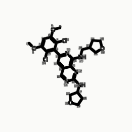 COc1cc(OC)c(Cl)c(-c2cc3cnc(NC4CCOC4)nc3c(NCC3CCOC3)n2)c1Cl